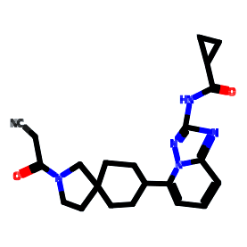 N#CCC(=O)N1CCC2(CCC(c3cccc4nc(NC(=O)C5CC5)nn34)CC2)C1